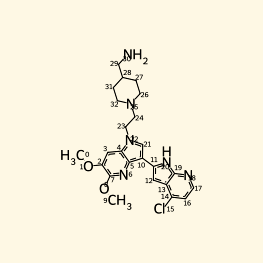 COc1cc2c(nc1OC)c(-c1cc3c(Cl)ccnc3[nH]1)cn2CCN1CCC(CN)CC1